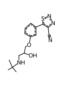 CC(C)(C)NCC(O)COc1cccc(-c2snnc2C#N)c1